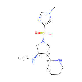 Cn1cnc(S(=O)(=O)N2C[C@H]([C@H]3CCCCN3)[C@@H](NC(=O)O)C2)c1